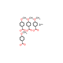 COc1ccc(C(=O)[O-])cc1.COc1ccc(C(=O)[O-])cc1.COc1ccc(C(=O)[O-])cc1.COc1ccc(C(=O)[O-])cc1.[Zr+4]